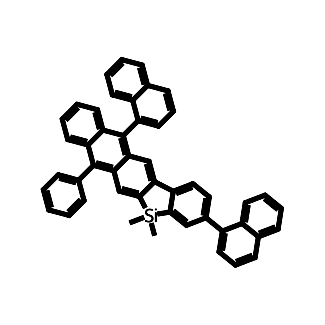 C[Si]1(C)c2cc(-c3cccc4ccccc34)ccc2-c2cc3c(-c4cccc5ccccc45)c4ccccc4c(-c4ccccc4)c3cc21